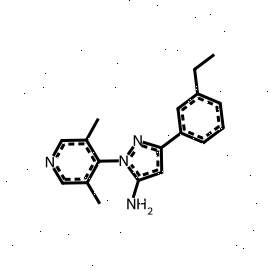 CCc1cccc(-c2cc(N)n(-c3c(C)cncc3C)n2)c1